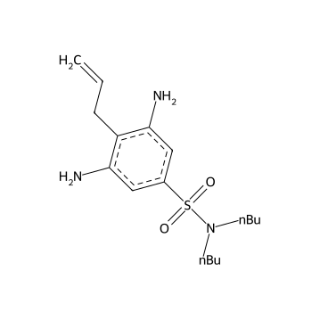 C=CCc1c(N)cc(S(=O)(=O)N(CCCC)CCCC)cc1N